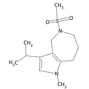 CC(C)c1cn(C)c2c1CN(S(C)(=O)=O)CCC2